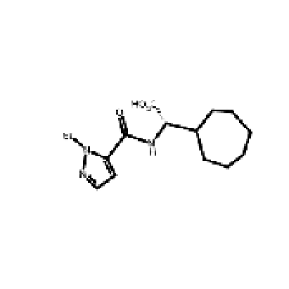 CCn1nccc1C(=O)N[C@H](C(=O)O)C1CCCCCC1